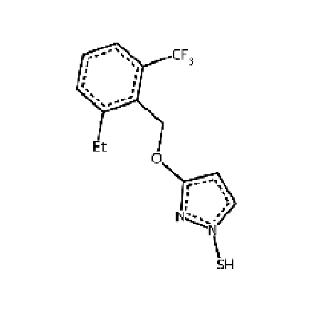 CCc1cccc(C(F)(F)F)c1COc1ccn(S)n1